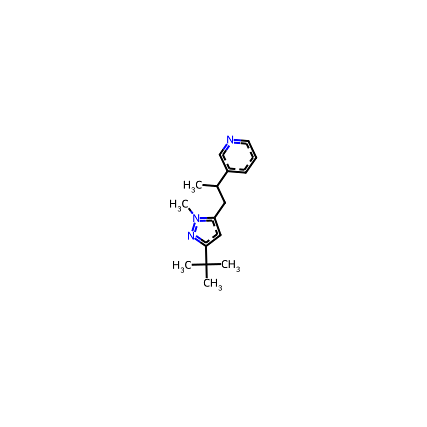 CC(Cc1cc(C(C)(C)C)nn1C)c1cccnc1